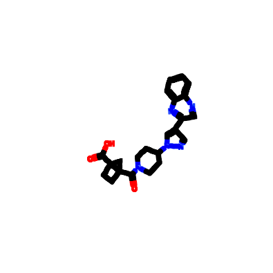 O=C(O)C12CCC1(C(=O)N1CCC(n3cc(-c4cnc5ccccc5n4)cn3)CC1)C2